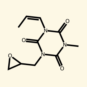 C/C=C\n1c(=O)n(C)c(=O)n(CC2CO2)c1=O